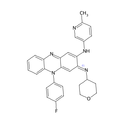 Cc1ccc(Nc2cc3nc4ccccc4n(-c4ccc(F)cc4)c-3c/c2=N\C2CCOCC2)cn1